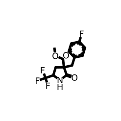 COC(=O)C1(Cc2ccc(F)cc2)CC(C(F)(F)F)NC1=O